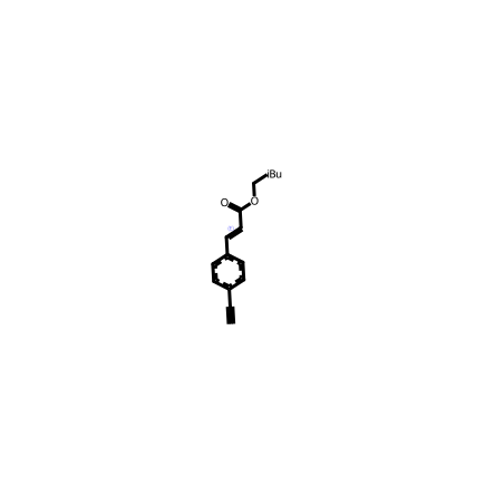 C#Cc1ccc(/C=C/C(=O)OCC(C)CC)cc1